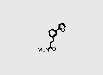 CNC(=O)CCc1cccc(-c2ccco2)c1